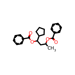 CC(CC(OC(=O)c1ccccc1)C1CCCC1)OC(=O)c1ccccc1